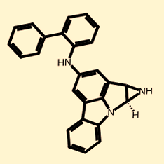 c1ccc(-c2ccccc2Nc2cc3c4c(c2)c2ccccc2n4[C@@H]2NC32)cc1